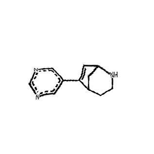 C1=C(c2cncnc2)C2CCNC1C2